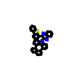 c1cc2c3c(cccc3c1)-c1cccc3c1c1c-2cccc1n3-c1nc2ccccc2nc1-c1cccc2c1sc1ccccc12